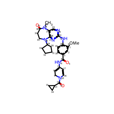 COc1cc(C(=O)NC2=CCN(C(=O)C3CC3)C=C2)ccc1Nc1ncc2c(n1)N(C1CCCC1)CCC(=O)N2C